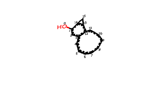 Oc1cc2ccccccccc2c2c1C2